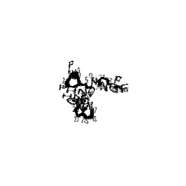 CN(C(=O)C(Cc1cc(F)cc(F)c1)NC(=O)NS(=O)(=O)N1CCc2cccnc21)c1ccc(OC(F)F)nc1